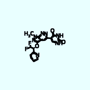 Cn1nc(O[C@H](c2ccccn2)C(F)F)c2cc(-c3c[nH]c(=O)[nH]c3=O)nnc21